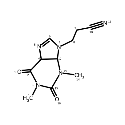 CN1C(=O)C2N=CN(CCC#N)C2N(C)C1=O